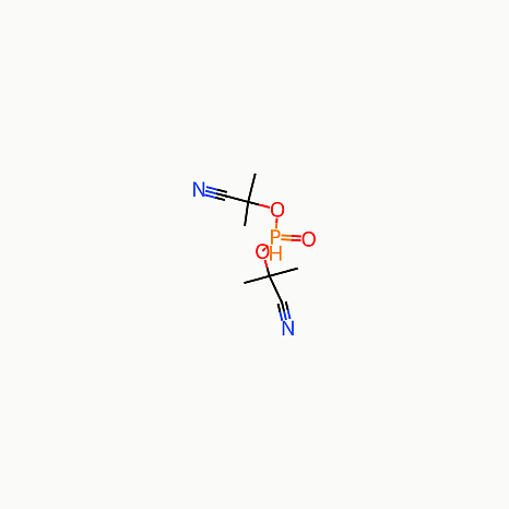 CC(C)(C#N)O[PH](=O)OC(C)(C)C#N